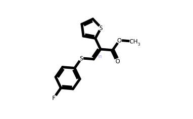 COC(=O)/C(=C/Sc1ccc(F)cc1)c1cccs1